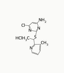 Cc1cccnc1C(C)Sc1nc(N)cc(Cl)n1.Cl